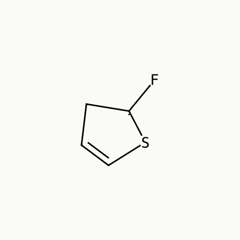 F[C]1CC=CS1